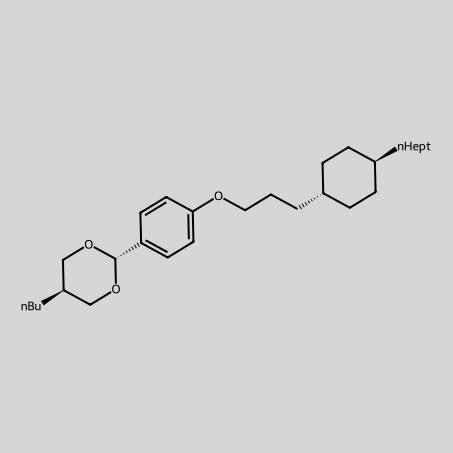 CCCCCCC[C@H]1CC[C@H](CCCOc2ccc([C@H]3OC[C@H](CCCC)CO3)cc2)CC1